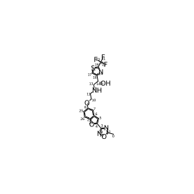 Cc1nc(-c2cc3cc(OCCNC[C@@H](O)c4csc(C(F)(F)F)n4)ccc3o2)no1